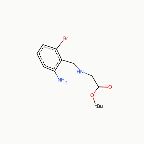 CC(C)(C)OC(=O)CNCc1c(N)cccc1Br